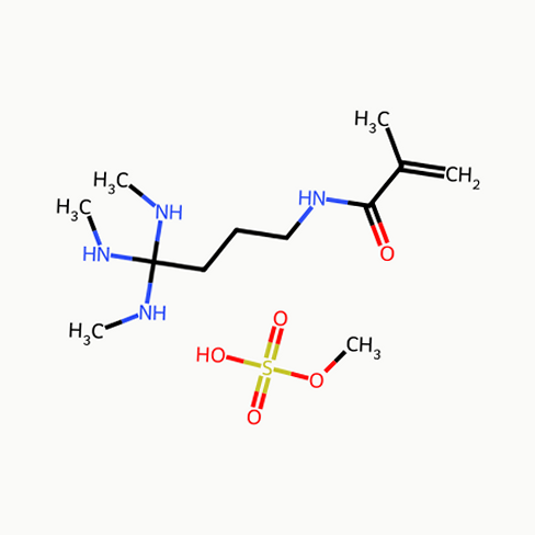 C=C(C)C(=O)NCCCC(NC)(NC)NC.COS(=O)(=O)O